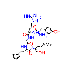 CSCC[C@@H](CO)NC(=O)[C@H](CCc1ccccc1)NC(=O)CNC(=O)[C@@H](CCCNC(=N)N)NC(=O)[C@@H](N)Cc1ccc(O)cc1